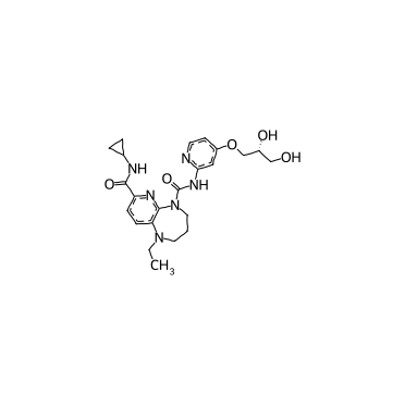 CCN1CCCN(C(=O)Nc2cc(OC[C@H](O)CO)ccn2)c2nc(C(=O)NC3CC3)ccc21